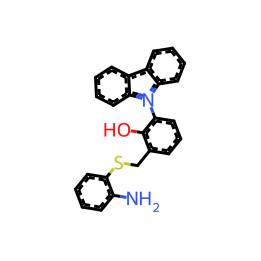 Nc1ccccc1SCc1cccc(-n2c3ccccc3c3ccccc32)c1O